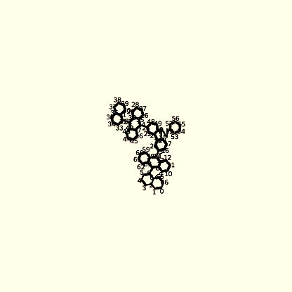 C1=CC2C=CC=C(c3c4ccccc4c(-c4ccc5c(c4)c4cc(-c6c7ccccc7c(-c7cccc8ccccc78)c7ccccc67)ccc4n5-c4ccccc4)c4ccccc34)C2C=C1